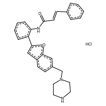 Cl.O=C(C=Cc1ccccc1)Nc1ccccc1-c1cc2ccc(CN3CCNCC3)cc2o1